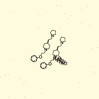 C(CN1CCCC1)=C1CCN(CCOc2ccccc2)CC1.C(CN1CCCC1)=C1CCN(CCOc2ccccc2)CC1.Cl.Cl.Cl.Cl.O